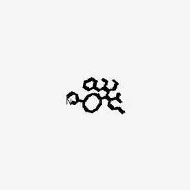 C=C/C=C\C(C(=C)C)=C(/C1=CC/C=C(c2cccnc2)\C=C/C/C=C\1)C(/C=C\C)=C(CC)Cc1ccccc1